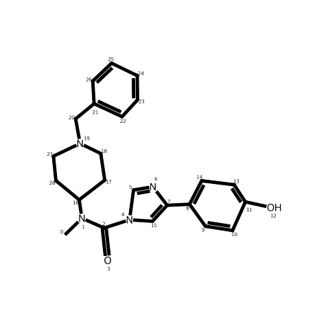 CN(C(=O)n1cnc(-c2ccc(O)cc2)c1)C1CCN(Cc2ccccc2)CC1